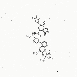 CC(NC(=O)c1cn(C2CC(F)(F)C2)c(=O)c2cn[nH]c12)c1cc(-c2ccccc2CN(C)C(=O)OC(C)(C)C)cs1